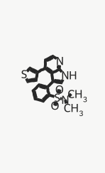 CN(C)S(=O)(=O)c1ccccc1-c1c[nH]c2nccc(-c3ccsc3)c12